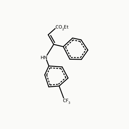 CCOC(=O)C=C(Nc1ccc(C(F)(F)F)cc1)c1ccccc1